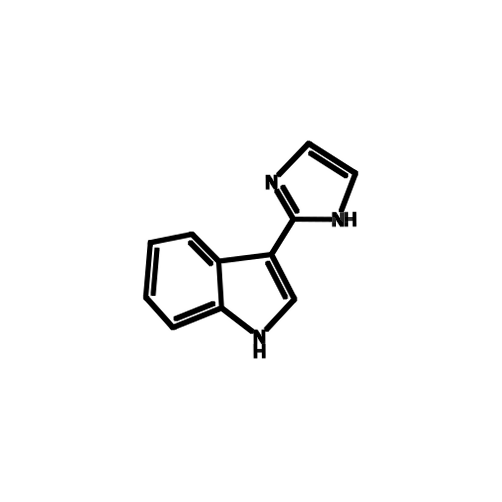 c1ccc2c(-c3ncc[nH]3)c[nH]c2c1